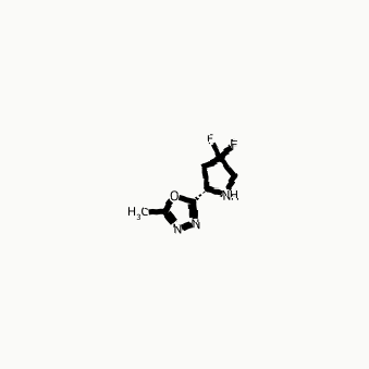 Cc1nnc([C@@H]2CC(F)(F)CN2)o1